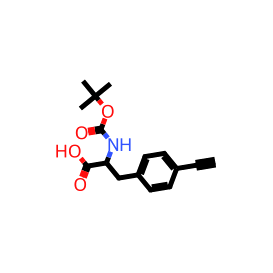 C#Cc1ccc(CC(NC(=O)OC(C)(C)C)C(=O)O)cc1